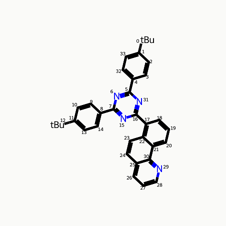 CC(C)(C)c1ccc(-c2nc(-c3ccc(C(C)(C)C)cc3)nc(-c3cccc4c3ccc3cccnc34)n2)cc1